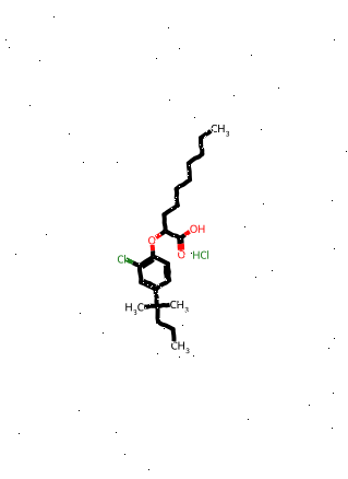 CCCCCCCCC(Oc1ccc(C(C)(C)CCC)cc1Cl)C(=O)O.Cl